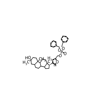 C[C@@]1(O)CC[C@@]2(C)C(CCC3C2CC[C@@]2(C)C3CC[C@@H]2c2cc(COP(=O)(OCc3ccccc3)OCc3ccccc3)on2)C1